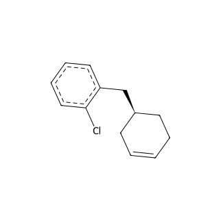 Clc1ccccc1C[C@@H]1CC=CCC1